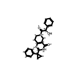 O=C([C@H](O)c1ccccc1)N1CCc2nc(C3(c4ccccc4)CC3)[nH]c(=O)c2C1